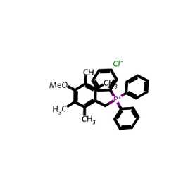 COc1c(C)c(C)c(C[P+](c2ccccc2)(c2ccccc2)c2ccccc2)c(C)c1C.[Cl-]